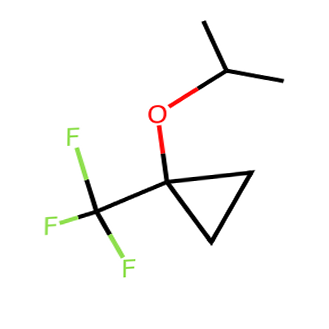 CC(C)OC1(C(F)(F)F)CC1